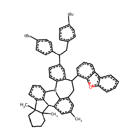 Cc1cc2c3c(c1)C1c4c(cccc4C4(C)CCCCC14C)B3c1ccc(C(Cc3ccc(C(C)(C)C)cc3)c3ccc(C(C)(C)C)cc3)cc1C(c1cccc3c1oc1ccccc13)C2